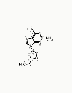 CC[C@@H]1OC[C@H](n2cnc3c(N)nc(N)nc32)O1